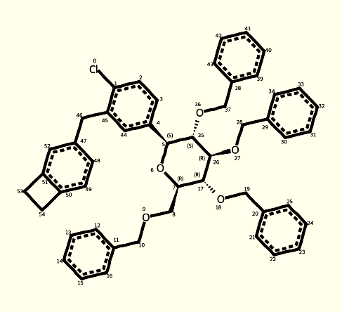 Clc1ccc([C@@H]2O[C@H](COCc3ccccc3)[C@@H](OCc3ccccc3)[C@H](OCc3ccccc3)[C@H]2OCc2ccccc2)cc1Cc1ccc2c(c1)CC2